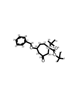 CC(C)(C)OC(=O)[N+]1(C(C)(C)C)CCC(OCc2ccccc2)CC(=O)C1